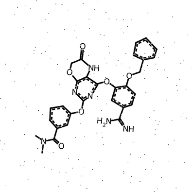 CN(C)C(=O)c1cccc(Oc2nc3c(c(Oc4cc(C(=N)N)ccc4OCc4ccccc4)n2)NC(=O)CO3)c1